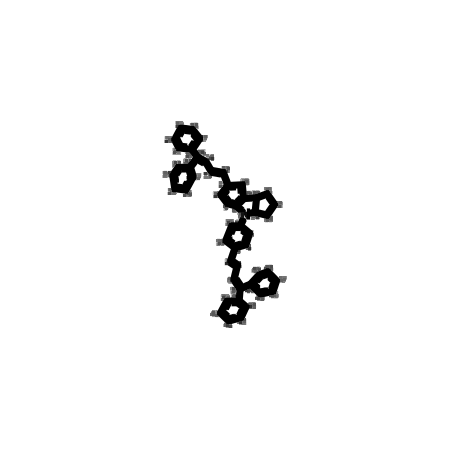 C(/C=C/c1ccc(N2c3ccc(/C=C/C=C(c4ccccc4)c4ccccc4)cc3C3CCCC32)cc1)=C(c1ccccc1)c1ccccc1